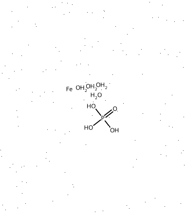 O.O.O.O.O=P(O)(O)O.[Fe]